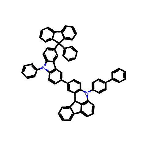 CC12c3ccccc3-c3cccc(c31)N(c1ccc(-c3ccccc3)cc1)c1ccc(-c3ccc4c(c3)c3cc(C5(c6ccccc6)c6ccccc6-c6ccccc65)ccc3n4-c3ccccc3)cc12